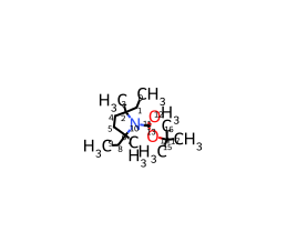 CCC1(C)CCC(C)(CC)N1C(=O)OC(C)(C)C